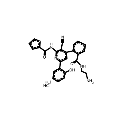 Cl.Cl.N#Cc1c(-c2ccccc2C(=O)NCCN)cc(-c2ccccc2O)nc1NC(=O)c1cccs1